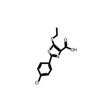 CCSc1sc(-c2ccc(Cl)cc2)nc1C(=O)O